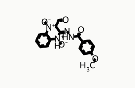 COc1ccc(C(=O)NN=C2C(C=O)=[N+]([O-])c3ccccc3[NH+]2[O-])cc1